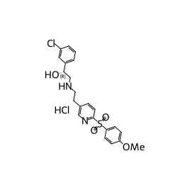 COc1ccc(S(=O)(=O)c2ccc(CCNC[C@H](O)c3cccc(Cl)c3)cn2)cc1.Cl